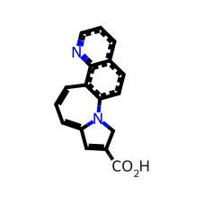 O=C(O)C1=CC2=CC=Cc3c(ccc4cccnc34)N2C1